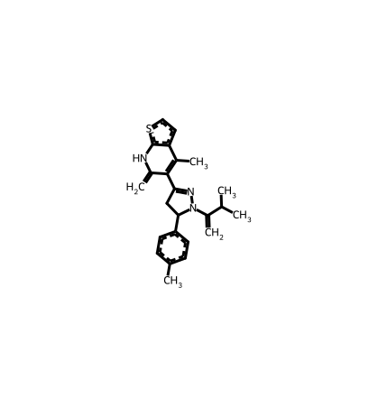 C=C1Nc2sccc2C(C)=C1C1=NN(C(=C)C(C)C)C(c2ccc(C)cc2)C1